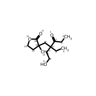 CCC(=O)C(CC)(CCO)CC1(C)CCOC1=O